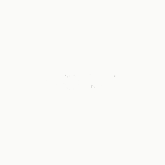 CCC(CO)NC(=O)c1ccc(OC)nc1